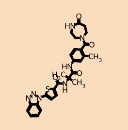 Cc1cc(NC(=O)C(C)(C)NC(=O)c2ccc(-n3nnc4ccccc43)s2)ccc1C(=O)N1CCNC(=O)CC1